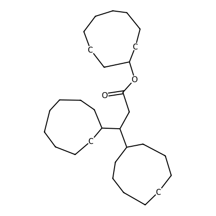 O=C(CC(C1CCCCCCCC1)C1CCCCCCCC1)OC1CCCCCCCC1